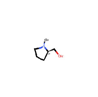 CC(C)(C)N1CCC[C@@H]1CO